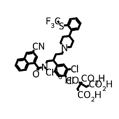 CN(CC(CCN1CCC(c2ccccc2SC(F)(F)F)CC1)c1ccc(Cl)c(Cl)c1)C(=O)c1cc(C#N)cc2ccccc12.O=C(O)CC(O)(CC(=O)O)C(=O)O